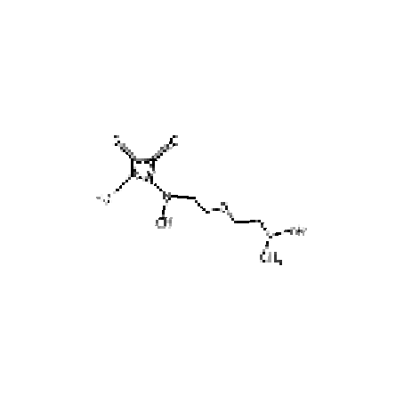 CCCN(C)CCOCCN(C)c1c(C)c(=S)c1=O